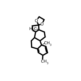 CC1C=C[C@@]2(C)C(=C1)CCC1C2CC[C@@]2(C)C1CCC21OCCO1